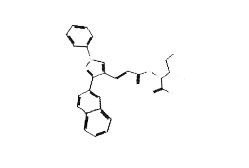 CC[C@H](C)[C@H](NC(=O)/C=C/c1cn(-c2ccccc2)nc1-c1ccc2ccccc2c1)C(=O)O